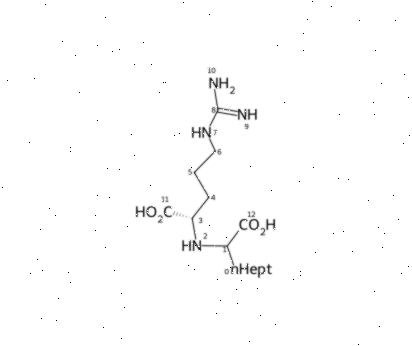 CCCCCCCC(N[C@@H](CCCNC(=N)N)C(=O)O)C(=O)O